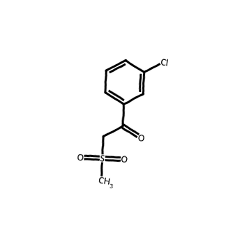 CS(=O)(=O)CC(=O)c1cccc(Cl)c1